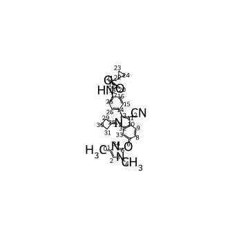 Cc1cn(C)c(Oc2ccc3c(C#N)c(-c4ccc(NS(=O)(=O)C5CC5)cc4)n(C4CCC4)c3c2)n1